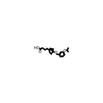 CC(C)Oc1cccc(COC23CCC(CCCC(=O)O)(CC2)C3)c1